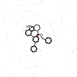 O=C(OCc1ccccc1)C1CCCc2[nH]c3cccc(-c4cccc(-c5ccccc5)c4)c3c21